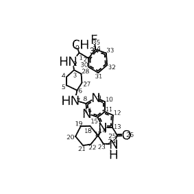 CC(NC1CCC(Nc2ncc3cc4n(c3n2)C2(CCCCC2)CNC4=O)CC1)c1ccccc1F